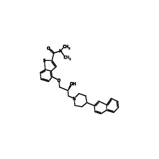 CN(C)C(=O)c1cc2c(OC[C@@H](O)CN3CCC(c4ccc5ccccc5c4)CC3)cccc2s1